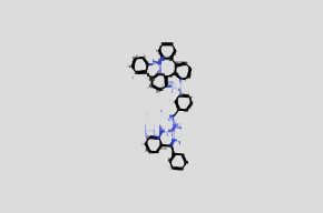 N=C(/N=c1/nc(-c2ccccc2)c2ccccc2[nH]1)c1cccc(-n2c3cccc4c5ccccc5n5c6ccccc6c6ccc2c(c43)c65)c1